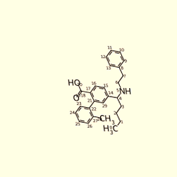 CCCCC(NCCc1ccccc1)c1ccc(C(=O)O)c(-c2ccccc2C)c1